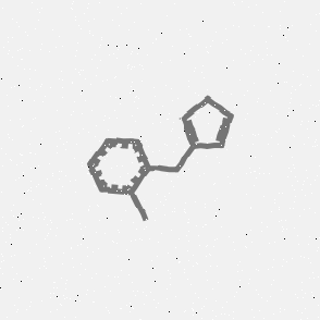 Cc1ccccc1CC1=[C]CC=C1